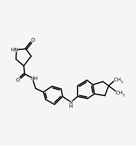 CC1(C)Cc2ccc(Nc3ccc(CNC(=O)C4CNC(=O)C4)cc3)cc2C1